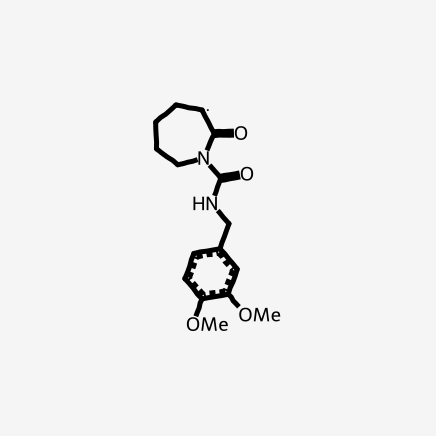 COc1ccc(CNC(=O)N2CCCC[CH]C2=O)cc1OC